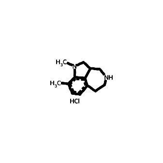 Cc1ccc2c3c1N(C)CC3CNCC2.Cl